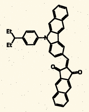 CCC(CC)c1ccc(-n2c3ccc(C=C4C(=O)c5cc6ccccc6cc5C4=O)cc3c3cc4ccccc4cc32)cc1